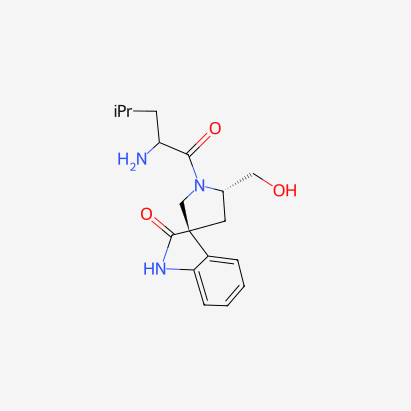 CC(C)CC(N)C(=O)N1C[C@]2(C[C@H]1CO)C(=O)Nc1ccccc12